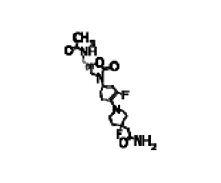 CC(=O)NC[C@H]1CN(c2ccc(N3CCC(F)(CC(N)=O)CC3)c(F)c2)C(=O)O1